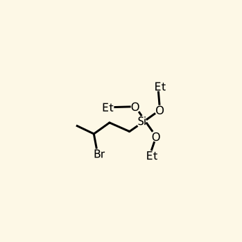 CCO[Si](CCC(C)Br)(OCC)OCC